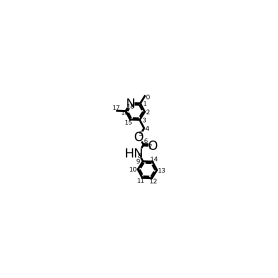 Cc1cc(COC(=O)Nc2ccccc2)cc(C)n1